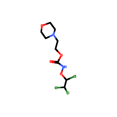 O=C(NOC(Cl)C(Cl)Cl)OCCN1CCOCC1